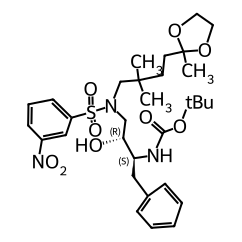 CC(C)(CCC1(C)OCCO1)CN(C[C@@H](O)[C@H](Cc1ccccc1)NC(=O)OC(C)(C)C)S(=O)(=O)c1cccc([N+](=O)[O-])c1